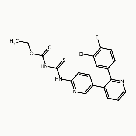 CCOC(=O)NC(=S)Nc1ccc(-c2cccnc2-c2ccc(F)c(Cl)c2)cn1